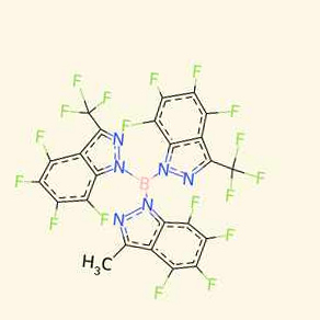 Cc1nn(B(n2nc(C(F)(F)F)c3c(F)c(F)c(F)c(F)c32)n2nc(C(F)(F)F)c3c(F)c(F)c(F)c(F)c32)c2c(F)c(F)c(F)c(F)c12